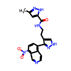 Cc1cc(C(=O)NCCc2c[nH]nc2-c2ccc([N+](=O)[O-])c3cnccc23)[nH]n1